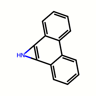 c1ccc2c(c1)c1c(c3ccccc32)N1